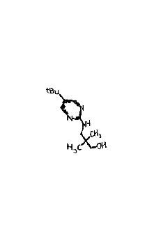 CC(C)(CO)CNc1ncc(C(C)(C)C)cn1